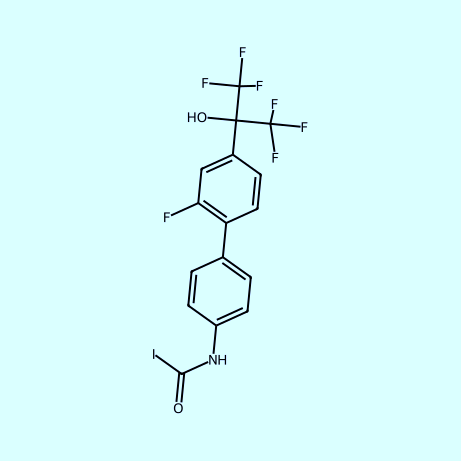 O=C(I)Nc1ccc(-c2ccc(C(O)(C(F)(F)F)C(F)(F)F)cc2F)cc1